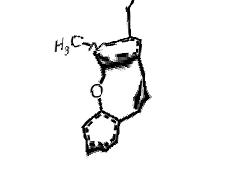 Cn1c(CC(=O)O)cc2c1Oc1ccccc1C=C2